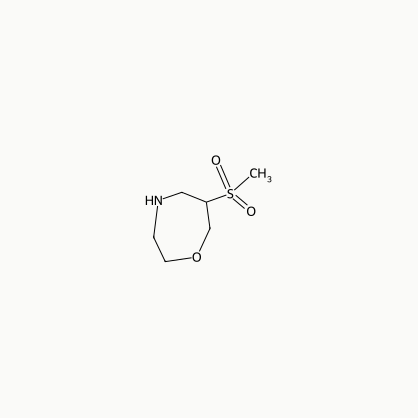 CS(=O)(=O)C1CNCCOC1